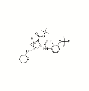 CC(C)(C)OC(=O)N1[C@H](C(=O)Nc2cccc(OC(F)(F)F)c2F)C[C@@]2(COC3CCCCO3)C[C@@H]12